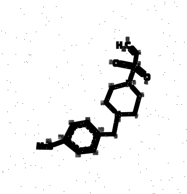 C=CS(=O)(=O)N1CCN(Cc2ccc(SC)cc2)CC1